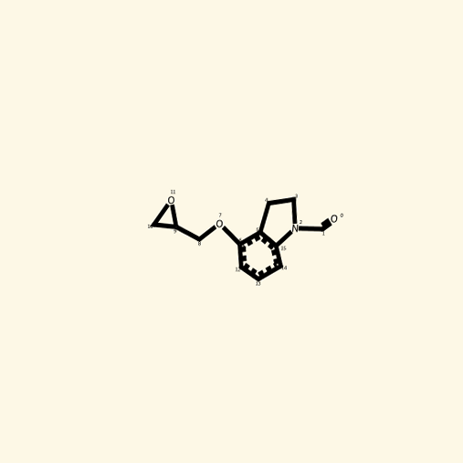 O=CN1CCc2c(OCC3CO3)cccc21